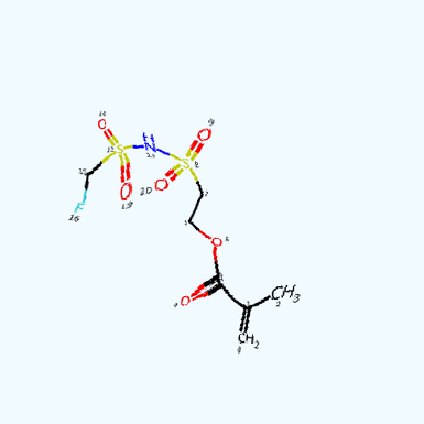 C=C(C)C(=O)OCCS(=O)(=O)NS(=O)(=O)CF